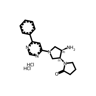 Cl.Cl.N[C@@H]1CN(c2cc(-c3ccccc3)ncn2)C[C@@H]1N1CCCC1=O